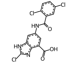 O=C(Nc1cc(C(=O)O)c2nc(Cl)[nH]c2c1)c1cc(Cl)ccc1Cl